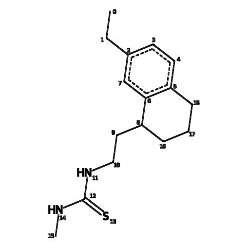 CCc1ccc2c(c1)C(CCNC(=S)NC)CCC2